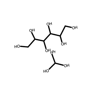 CCCC(O)O.OCC(O)C(O)C(O)C(O)CO